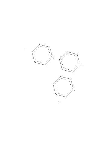 N.[Pt].c1ccncc1.c1ccncc1.c1ccncc1